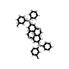 Cc1cccc(N(c2ccccc2)c2cc3cnc4cc(N(c5ccccc5)c5cccc(C)c5)cc5cnc(c2)c3c54)c1